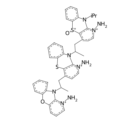 CC(C)N1c2ccccc2[S+]([O-])c2c(CC(C)N3c4ccccc4Sc4c(CC(C)N5c6ccccc6Oc6ccc[n+](N)c65)cc[n+](N)c43)cc[n+](N)c21